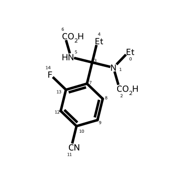 CCN(C(=O)O)C(CC)(NC(=O)O)c1ccc(C#N)cc1F